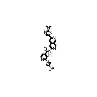 CN(C)c1ncc(-c2cc3cc(NC(=O)c4ccnc(N5CC(N(C)C)C5)c4)ncc3cn2)s1